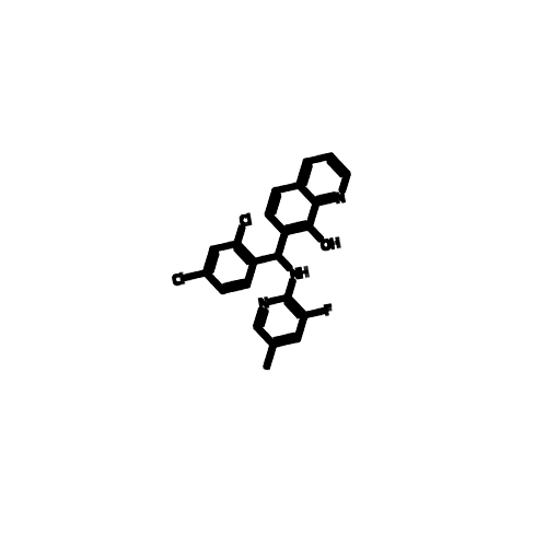 Cc1cnc(NC(c2ccc(Cl)cc2Cl)c2ccc3cccnc3c2O)c(F)c1